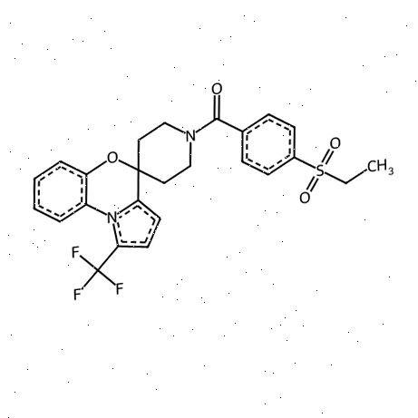 CCS(=O)(=O)c1ccc(C(=O)N2CCC3(CC2)Oc2ccccc2-n2c(C(F)(F)F)ccc23)cc1